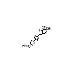 CCCCOC1CCC(c2ccc(CCc3ccc(OCC)c(C(F)(F)F)c3F)cc2)CO1